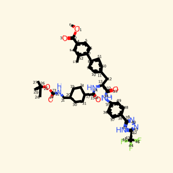 COC(=O)c1ccc(-c2ccc(CC(NC(=O)C3CCC(CNC(=O)OC(C)(C)C)CC3)C(=O)Nc3ccc(-c4nnc(C(F)(F)F)[nH]4)cc3)cc2)c(C)c1